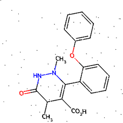 CC1C(=O)NN(C)C(c2ccccc2Oc2ccccc2)=C1C(=O)O